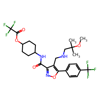 COC(C)(C)CNCc1c(C(=O)NC2CCC(OC(=O)C(F)(F)F)CC2)noc1-c1ccc(C(F)(F)F)cc1